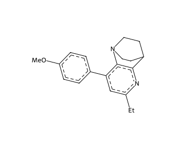 CCc1cc(-c2ccc(OC)cc2)c2c(n1)C1CCN2CC1